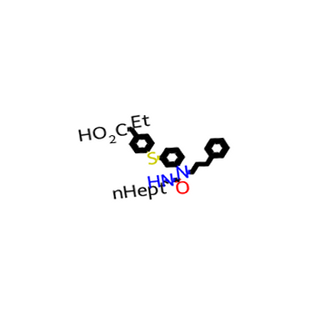 CCCCCCCNC(=O)N(CCCc1ccccc1)c1cccc(Sc2ccc(C(CC)C(=O)O)cc2)c1